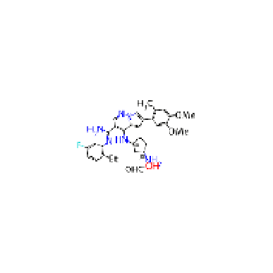 CCc1ccc(F)cc1N=C(N)c1cnn2cc(-c3cc(OC)c(OC)cc3C)cc2c1N[C@H]1CC[C@@H](N)C1.O=CO